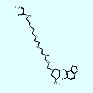 C=CC(=O)NCCOCCOCCOCCNCOC[C@H]1C[C@H](Cc2c(F)ccc3c2CCO3)CN(C)C1